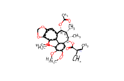 C/C=C(/C)C(=O)O[C@H]1c2cc(OC)c(OC)c(OC)c2-c2c(cc3c(c2OC)OCO3)[C@H](OC(C)=O)[C@H](C)[C@@H]1C